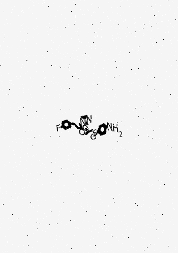 Nc1ccc([S+]([O-])CC2COC(CCc3ccc(F)cc3)(Cn3ccnc3)O2)cc1